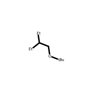 CCC(CC)COC(C)(C)C